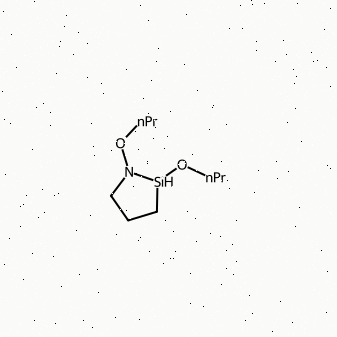 CCCON1CCC[SiH]1OCCC